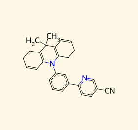 CC1(C)C2=C(CCC=C2)N(c2cccc(-c3ccc(C#N)cn3)c2)C2=C1CCC=C2